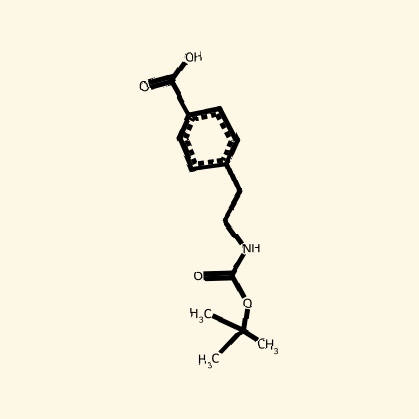 CC(C)(C)OC(=O)NCCc1ccc(C(=O)O)cc1